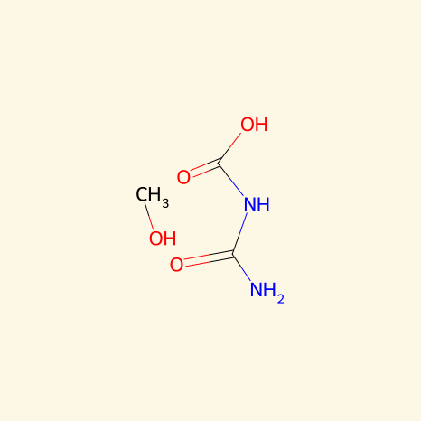 CO.NC(=O)NC(=O)O